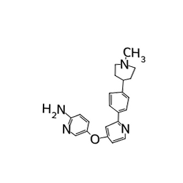 CN1CCC(c2ccc(-c3cc(Oc4ccc(N)nc4)ccn3)cc2)CC1